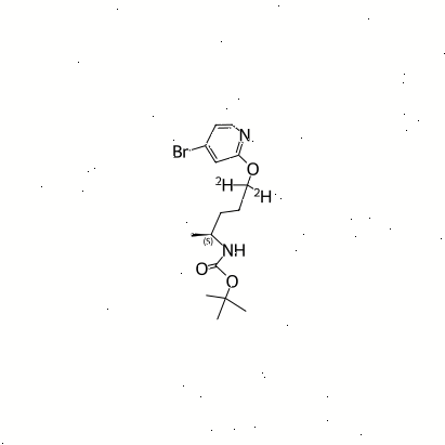 [2H]C([2H])(CC[C@H](C)NC(=O)OC(C)(C)C)Oc1cc(Br)ccn1